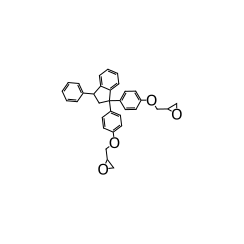 c1ccc(C2CC(c3ccc(OCC4CO4)cc3)(c3ccc(OCC4CO4)cc3)c3ccccc32)cc1